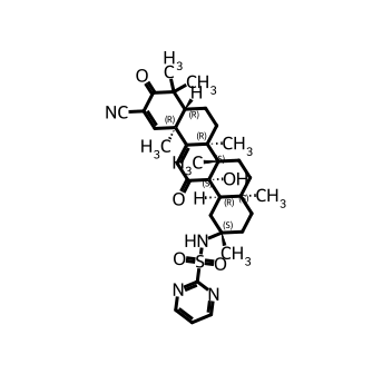 CC1(C)C(=O)C(C#N)=C[C@]2(C)C3=CC(=O)[C@]4(O)[C@@H]5C[C@@](C)(NS(=O)(=O)c6ncccn6)CC[C@]5(C)CC[C@@]4(C)[C@]3(C)CC[C@@H]12